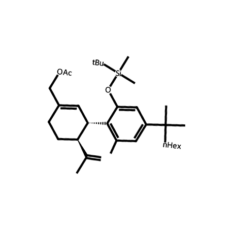 C=C(C)[C@H]1CCC(COC(C)=O)=C[C@@H]1c1c(C)cc(C(C)(C)CCCCCC)cc1O[Si](C)(C)C(C)(C)C